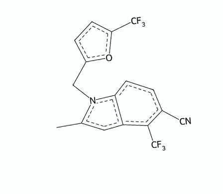 Cc1cc2c(C(F)(F)F)c(C#N)ccc2n1Cc1ccc(C(F)(F)F)o1